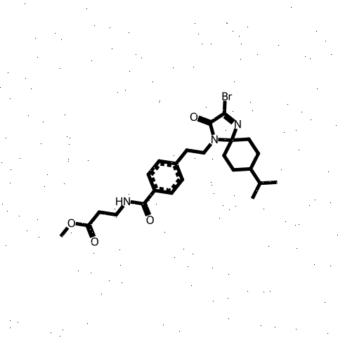 COC(=O)CCNC(=O)c1ccc(CCN2C(=O)C(Br)=NC23CCC(C(C)C)CC3)cc1